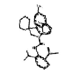 CC(C)c1cccc(C(C)C)c1NC(=O)N(Cc1ccc(N)cc1)CC1(c2ccccn2)CCCCC1